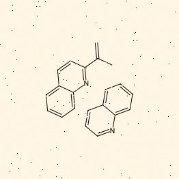 C=C(C)c1ccc2ccccc2n1.c1ccc2ncccc2c1